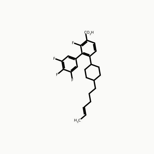 CC=CCCCC1CCC(c2ccc(C(=O)O)c(F)c2-c2cc(F)c(F)c(F)c2)CC1